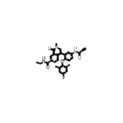 C#CC(=O)Nc1ccc(Oc2c(C)cc(F)cc2C)c(-c2cn(C)c(=O)c3cc(C(=O)NCC)ccc23)c1